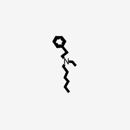 CCCCCCN(CC)CCc1ccccc1